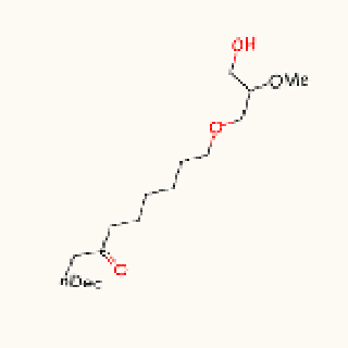 CCCCCCCCCCCC(=O)CCCCCCOCC(CO)OC